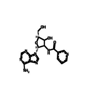 Nc1ncnc2c1ncn2[C@@H]1O[C@H](CO)C(O)C1NC(=O)c1cccnc1